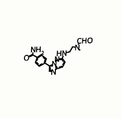 CN(C=O)CCNc1ccc2ncc(-c3ccc(C(N)=O)cc3)n2n1